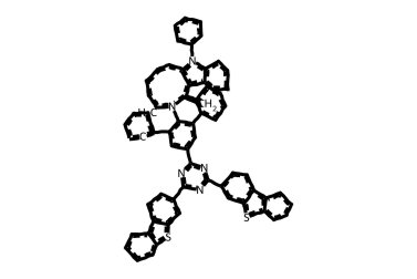 C=c1ccccc2c(c(=C)n1-c1c(-c3ccccc3)cc(-c3nc(-c4ccc5c(c4)sc4ccccc45)nc(-c4ccc5c(c4)sc4ccccc45)n3)cc1-c1ccccc1)c1ccccc1n2-c1ccccc1